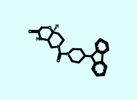 O=C1CO[C@H]2CCN(C(=O)N3CCC(C4c5ccccc5-c5ccccc54)CC3)CC2N1